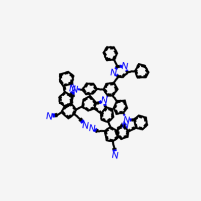 N#Cc1cc(C#N)c(-c2ccc3c(c2)c2cc(-c4c(C#N)cc(C#N)cc4C#N)ccc2n3-c2c(-c3ccc(-n4c5ccccc5c5ccccc54)cc3)cc(-c3cc(-c4ccccc4)nc(-c4ccccc4)n3)cc2-c2ccc(-n3c4ccccc4c4ccccc43)cc2)c(C#N)c1